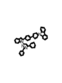 c1ccc(-c2cc(-n3c(-c4ccc(-c5ccc(-n6c7ccccc7c7ccccc76)cc5)cc4)cc4ccccc43)nc(-c3ccccc3)n2)cc1